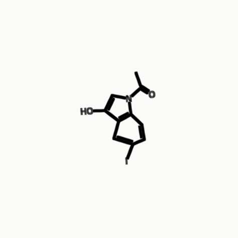 CC(=O)n1cc(O)c2cc(I)ccc21